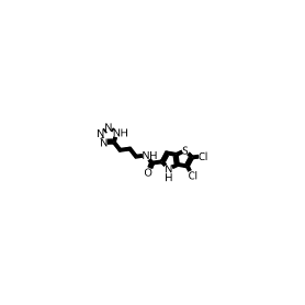 O=C(NCCCc1nnn[nH]1)c1cc2sc(Cl)c(Cl)c2[nH]1